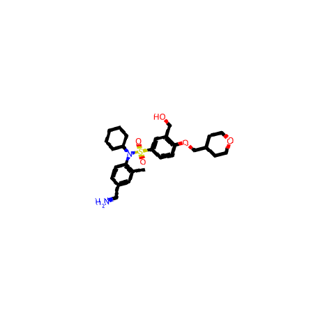 Cc1cc(CN)ccc1N(C1CCCCC1)S(=O)(=O)c1ccc(OCC2CCOCC2)c(CO)c1